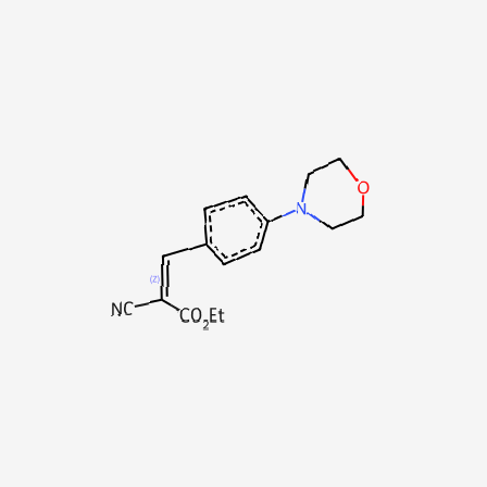 CCOC(=O)/C(C#N)=C\c1ccc(N2CCOCC2)cc1